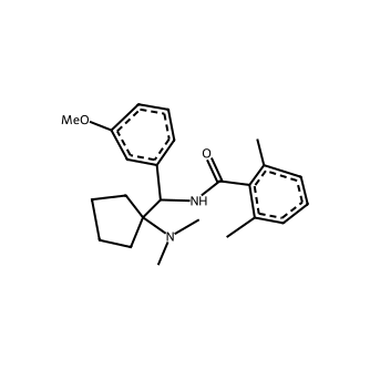 COc1cccc(C(NC(=O)c2c(C)cccc2C)C2(N(C)C)CCCC2)c1